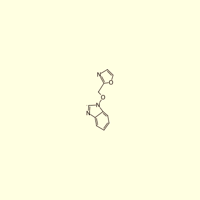 [c]1nc2ccccc2n1OCc1ncco1